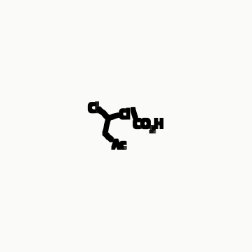 CC(=O)CC(Cl)Cl.CC(=O)O